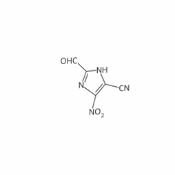 N#Cc1[nH]c(C=O)nc1[N+](=O)[O-]